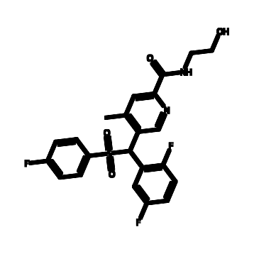 Cc1cc(C(=O)NCCO)ncc1C(c1cc(F)ccc1F)S(=O)(=O)c1ccc(F)cc1